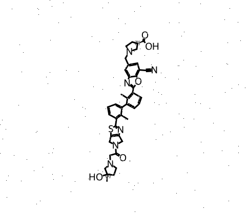 Cc1c(-c2nc3cc(CN4CC[C@@H](C(=O)O)C4)cc(C#N)c3o2)cccc1-c1cccc(-c2nc3c(s2)CN(C(=O)CN2CC[C@](C)(O)C2)C3)c1C